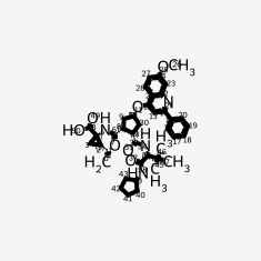 C=C[C@@H]1C[C@@]1(NC(=O)[C@@H]1C[C@H](Oc2cc(-c3ccccc3)nc3cc(OC)ccc23)C[C@@H]1C(=O)N[C@H](C(=O)NC1CCCC1)C(C)(C)C)C(=O)O